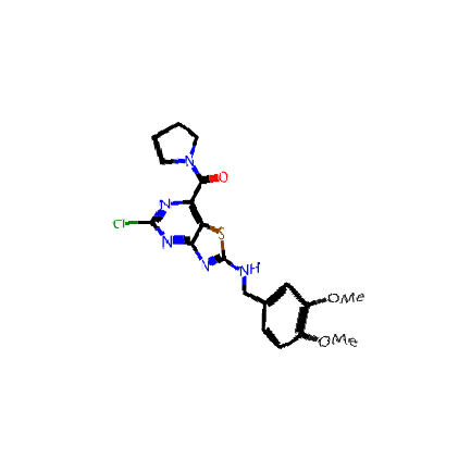 COc1ccc(CNc2nc3nc(Cl)nc(C(=O)N4CCCC4)c3s2)cc1OC